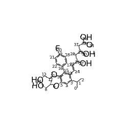 CC(C)c1cc(OCCO)c(OCCO)c(-c2ccc(F)cc2)c1C=CC(O)CC(O)CC(=O)O